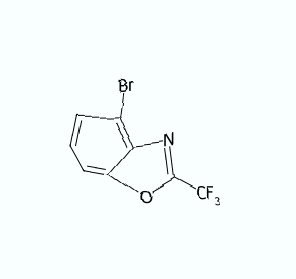 FC(F)(F)c1nc2c(Br)cccc2o1